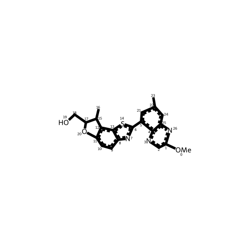 COc1cnc2c(-c3nc4ccc5c(c4s3)C(C)C(CO)O5)cc(C)cc2n1